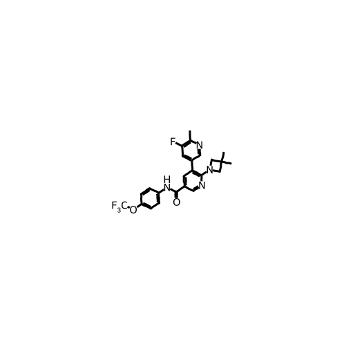 Cc1ncc(-c2cc(C(=O)Nc3ccc(OC(F)(F)F)cc3)cnc2N2CC(C)(C)C2)cc1F